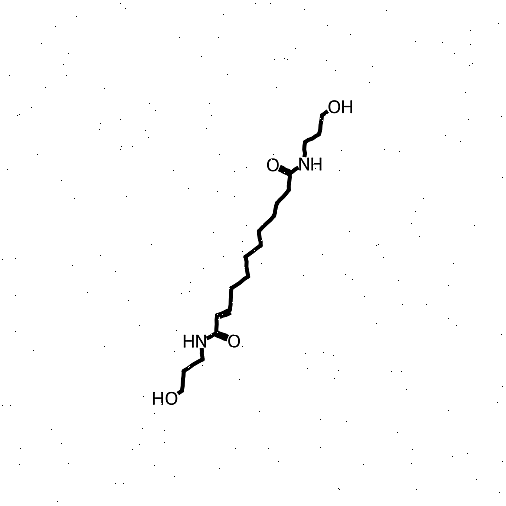 O=C(/C=C/CCCCCCCCC(=O)NCCCO)NCCCO